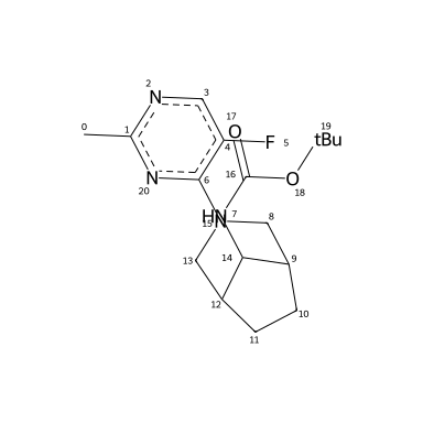 Cc1ncc(F)c(N2CC3CCC(C2)C3NC(=O)OC(C)(C)C)n1